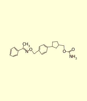 C/C(=N\OCc1ccc(C2CCC(COC(N)=O)C2)cc1)c1ccccc1